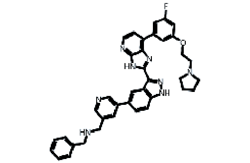 Fc1cc(OCCN2CCCC2)cc(-c2ccnc3[nH]c(-c4n[nH]c5ccc(-c6cncc(CNCc7ccccc7)c6)cc45)nc23)c1